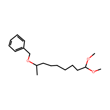 COC(CCCCCCC(C)OCc1ccccc1)OC